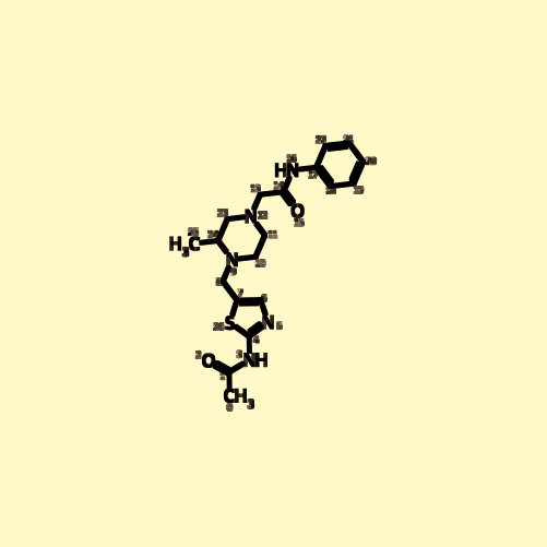 CC(=O)Nc1ncc(CN2CCN(CC(=O)Nc3ccccc3)CC2C)s1